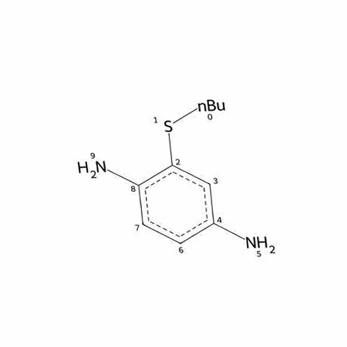 CCCCSc1cc(N)ccc1N